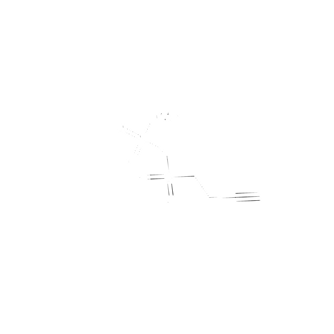 C#CCCS(=O)(=O)OS(=O)(=O)OC